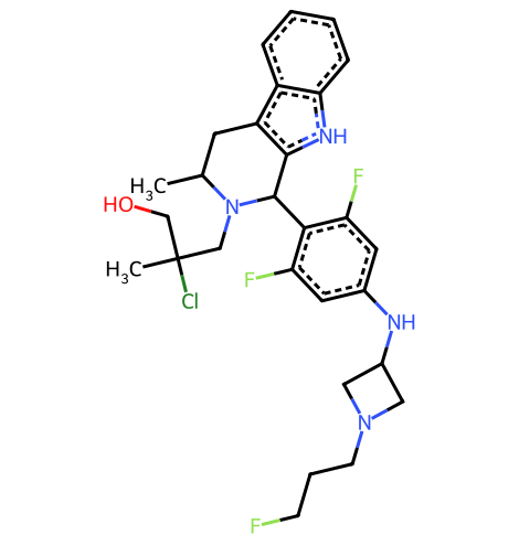 CC1Cc2c([nH]c3ccccc23)C(c2c(F)cc(NC3CN(CCCF)C3)cc2F)N1CC(C)(Cl)CO